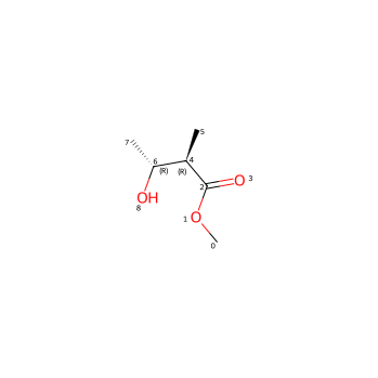 COC(=O)[C@H](C)[C@@H](C)O